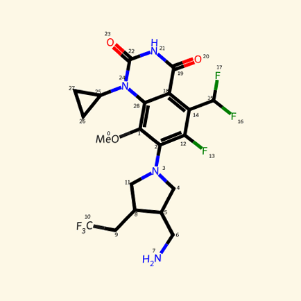 COc1c(N2CC(CN)C(CC(F)(F)F)C2)c(F)c(C(F)F)c2c(=O)[nH]c(=O)n(C3CC3)c12